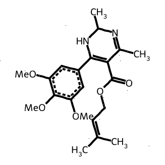 COc1cc(C2=C(C(=O)OCC=C(C)C)C(C)=NC(C)N2)cc(OC)c1OC